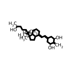 C=C1[C@H](O)CC(=C/C=C2\CCC[C@@]3(C)C2CC[C@]3(C)C(C)(C)CCC[C@@H](C)O)C[C@H]1O